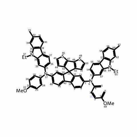 C=C(/C=C\C(=C)N(c1ccc2c(c1)C1(c3cc(N(c4ccc(OC)cc4)c4ccc5c6ccc(C)cc6n(CC)c5c4)ccc3-2)c2ccsc2-c2sccc21)c1ccc2c3ccc(C)cc3n(CC)c2c1)OC